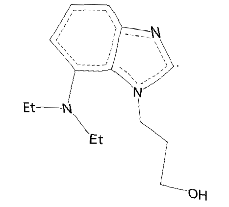 CCN(CC)c1cccc2n[c]n(CCCO)c12